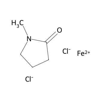 CN1CCCC1=O.[Cl-].[Cl-].[Fe+2]